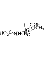 Cc1cc(C[C@@H](O)C(=O)N2CCC(N3CCN(CCC(=O)O)CC3)CC2)cc(C)c1O